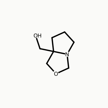 OCC12CCCN1COC2